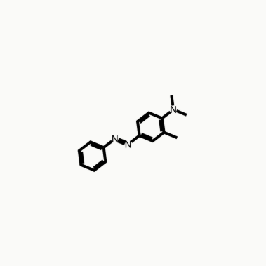 Cc1cc(N=Nc2ccccc2)ccc1N(C)C